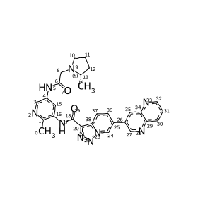 Cc1ncc(NC(=O)CN2CCC[C@@H]2C)cc1NC(=O)c1nnn2cc(-c3cnc4cccnc4c3)ccc12